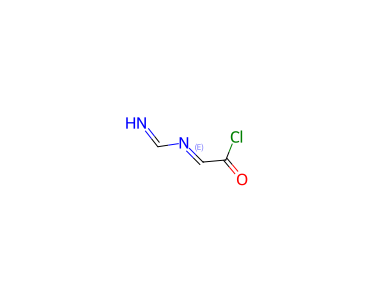 N=C/N=C/C(=O)Cl